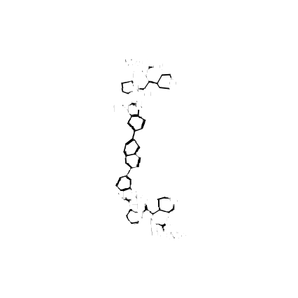 COC(=O)N[C@H](C(=O)N1CCC[C@H]1c1nc2ccc(-c3ccc4cc(-c5ccc6nc([C@@H]7CCCN7C(=O)[C@@H](NC(O)OC)C7CCOCC7)[nH]c6c5)ccc4c3)cc2[nH]1)C1CCOCC1